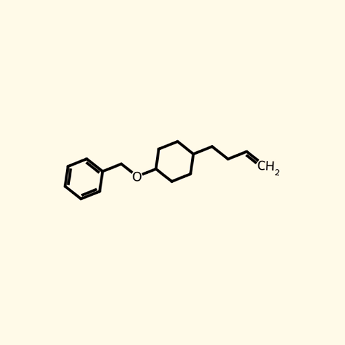 C=CCCC1CCC(OCc2ccccc2)CC1